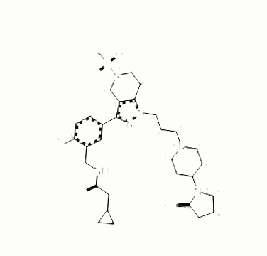 CS(=O)(=O)N1CCc2c(c(-c3ccc(C(F)(F)F)c(CNC(=O)CC4CC4)c3)nn2CCCN2CCC(N3CCCC3=O)CC2)C1